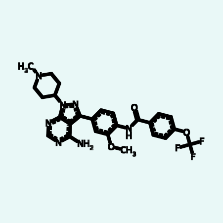 COc1cc(-c2nn(C3CCN(C)CC3)c3ncnc(N)c23)ccc1NC(=O)c1ccc(OC(F)(F)F)cc1